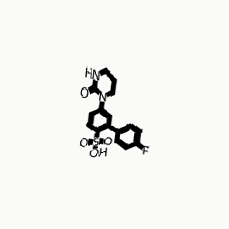 O=C1NCCCN1c1ccc(S(=O)(=O)O)c(-c2ccc(F)cc2)c1